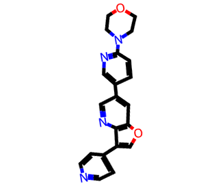 c1cc(-c2coc3cc(-c4ccc(N5CCOCC5)nc4)cnc23)ccn1